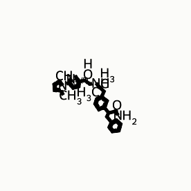 Cc1ccc(C)n1-c1ccc([C@@H](O)CNC(C)(C)Cc2cccc(C(Cc3ccccc3)C(N)=O)c2)cn1